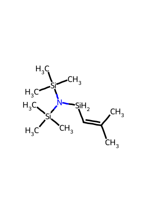 CC(C)=C[SiH2]N([Si](C)(C)C)[Si](C)(C)C